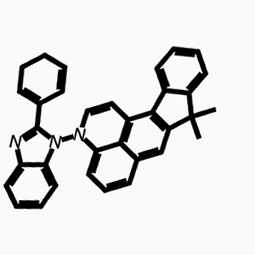 CC1(C)c2ccccc2-c2c1cc1cccc3c1c2C=CN3n1c(C2=CCCC=C2)nc2ccccc21